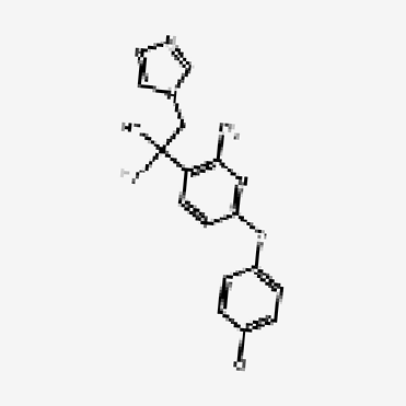 CC(O)(Cn1cnnc1)c1ccc(Oc2ccc(Cl)cc2)nc1C(F)(F)F